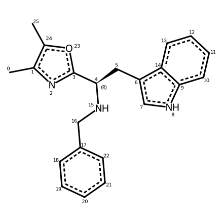 Cc1nc([C@@H](Cc2c[nH]c3ccccc23)NCc2ccccc2)oc1C